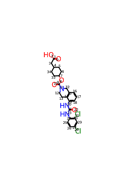 O=C(O)CC1CCC(OC(=O)N2CCc3c(cccc3NC(=O)Nc3ccc(Cl)cc3Cl)C2)CC1